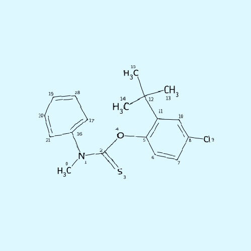 CN(C(=S)Oc1ccc(Cl)cc1C(C)(C)C)c1ccccc1